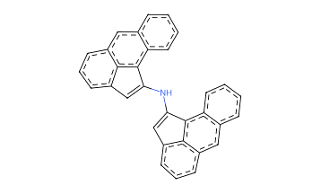 C1=C(NC2=Cc3cccc4cc5ccccc5c2c34)c2c3ccccc3cc3cccc1c23